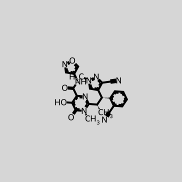 C[C@H](c1nc(C(=O)Nc2cnoc2)c(O)c(=O)n1C)[C@@H](c1ccccc1C#N)c1cn(C)nc1C#N